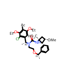 CCOc1cc([C@@H](C)N(CCO[C@@H](C)c2ccccc2)C(=O)N[C@]2(C(=O)O)C[C@@H](OC)C2)c(Cl)c(OCC)c1C(C)=O